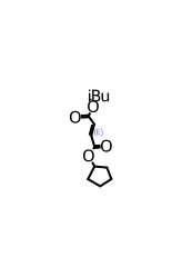 CCC(C)OC(=O)/C=C/C(=O)OC1CCCC1